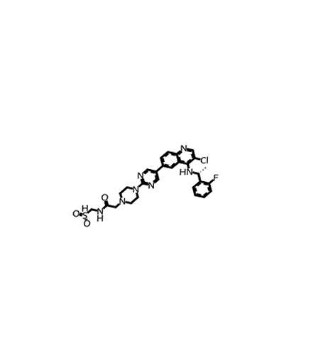 C[C@@H](Nc1c(Cl)cnc2ccc(-c3cnc(N4CCN(CC(=O)NC[SH](=O)=O)CC4)nc3)cc12)c1ccccc1F